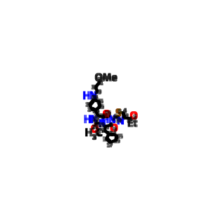 CCC(=O)c1csc(NC(=O)[C@H]([C@@H](C)c2ccccc2)N2C(=O)NC(c3ccc(NCCCOC)cc3)C2=O)n1